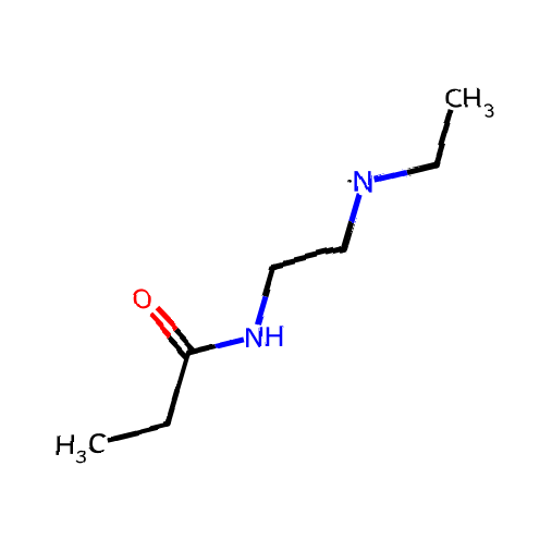 CC[N]CCNC(=O)CC